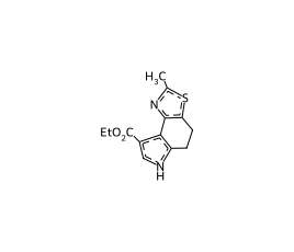 CCOC(=O)c1c[nH]c2c1-c1nc(C)sc1CC2